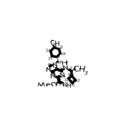 COC(=N)c1nc(N[C@H](C)C2CCC2)c2c(ncn2C[C@H]2CC[C@H](C)CC2)n1